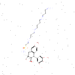 COc1cc(C2c3cc4c(cc3[C@@H](NS(=O)(=O)CCNCCCNCCCCNCCCN)[C@H]3COC(=O)[C@H]23)OCO4)cc(OC)c1O